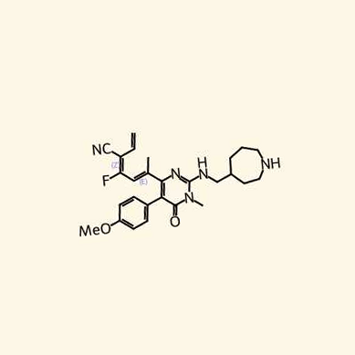 C=C/C(C#N)=C(F)\C=C(/C)c1nc(NCC2CCCNCC2)n(C)c(=O)c1-c1ccc(OC)cc1